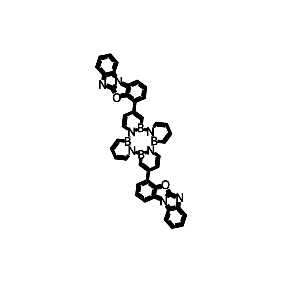 C1=CB2N(C=C1)B1C=C(c3cccc4c3oc3nc5ccccc5n34)C=CN1B1C=CC=CN1B1C=C(c3cccc4c3oc3nc5ccccc5n34)C=CN21